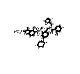 CCc1c(S(=O)(=O)N(CC)c2cc(N3CCCCC3)ccc2CN(Cc2ccco2)C(=O)c2ccccc2Cl)ccc2oc(C(=O)O)c(C)c12